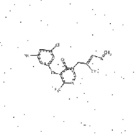 C=N/C=C(\C)Cn1cnc(C(F)(F)F)c(Oc2cc(Cl)cc(C#N)c2)c1=O